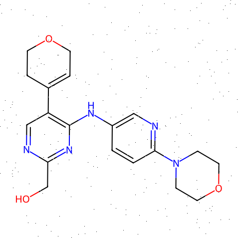 OCc1ncc(C2=CCOCC2)c(Nc2ccc(N3CCOCC3)nc2)n1